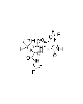 O=C(NCC(F)F)C(=O)N1C[C@@H]2CCC[C@@H]2[C@H]1C(=O)N[C@@H](C[C@@H]1CCNC1=O)C(=O)COC(F)(F)F